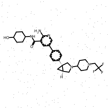 Nc1ncc(-c2ccc([C@@]34C[C@@H]3CN(C3CCN(CC(F)(F)F)CC3)C4)cc2)cc1C(=O)NC1CCC(O)CC1